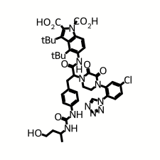 CC(CCO)NC(=O)Nc1ccc(CC(C(=O)Nc2ccc3c(c2C(C)(C)C)c(C(C)(C)C)c(C(=O)O)n3C(=O)O)N2CCN(c3cc(Cl)ccc3-n3cnnn3)C(=O)C2=O)cc1